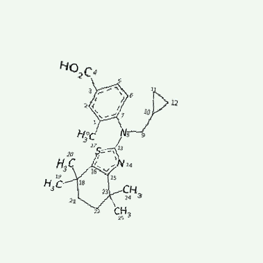 Cc1cc(C(=O)O)ccc1N(CC1CC1)c1nc2c(s1)C(C)(C)CCC2(C)C